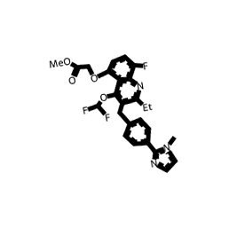 CCc1nc2c(F)ccc(OCC(=O)OC)c2c(OC(F)F)c1Cc1ccc(-c2nccn2C)cc1